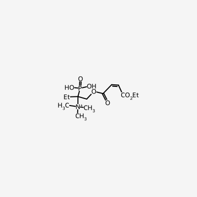 CCOC(=O)/C=C\C(=O)OCC(CC)([N+](C)(C)C)P(=O)(O)O